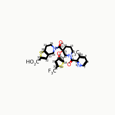 CCC[C@H]1N(C(=O)c2ncccc2C(F)(F)F)CCC[C@@]1(Oc1csc(C(F)(F)F)c1)C(=O)N1CCc2sc(C(=O)O)cc2C1